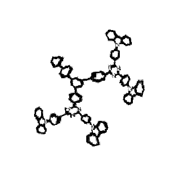 c1ccc(-c2ccc(-c3cc(-c4ccc(-c5nc(-c6ccc(-n7c8ccccc8c8ccccc87)cc6)nc(-c6ccc(-n7c8ccccc8c8ccccc87)cc6)n5)cc4)cc(-c4ccc(-c5nc(-c6ccc(-n7c8ccccc8c8ccccc87)cc6)nc(-c6ccc(-n7c8ccccc8c8ccccc87)cc6)n5)cc4)c3)cc2)cc1